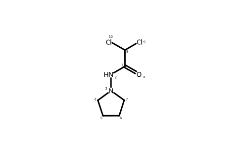 O=C(NN1CCCC1)C(Cl)Cl